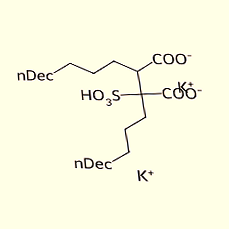 CCCCCCCCCCCCCC(C(=O)[O-])C(CCCCCCCCCCCCC)(C(=O)[O-])S(=O)(=O)O.[K+].[K+]